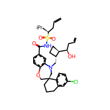 C=CC[C@@H](O)[C@@H]1CC[C@H]1CN1C[C@@]2(CCCc3cc(Cl)ccc32)COc2ccc(C(=O)NS(=O)(=O)[C@H](CC=C)C(C)C)cc21